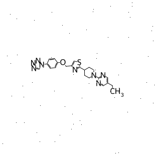 CCc1cnc(N2CCC(c3nc(COc4ccc(-n5cnnn5)cc4)cs3)CC2)nc1